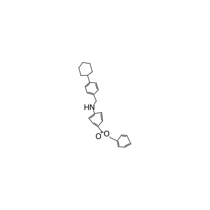 O=C(OCc1ccccc1)c1ccc(NCc2ccc(C3CCCCC3)cc2)cc1